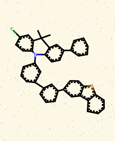 CC1(C)c2cc(F)ccc2N(c2cccc(-c3cccc(-c4ccc5sc6ccccc6c5c4)c3)c2)c2ccc(-c3ccccc3)cc21